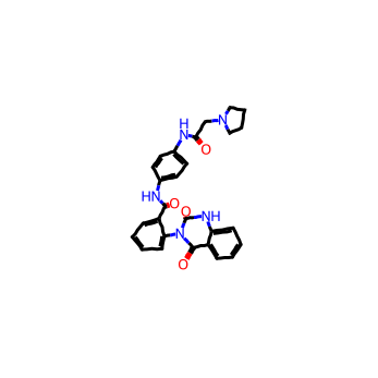 O=C(CN1CCCC1)Nc1ccc(NC(=O)c2ccccc2-n2c(=O)[nH]c3ccccc3c2=O)cc1